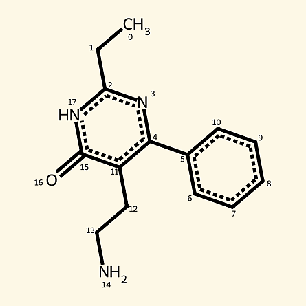 CCc1nc(-c2ccccc2)c(CCN)c(=O)[nH]1